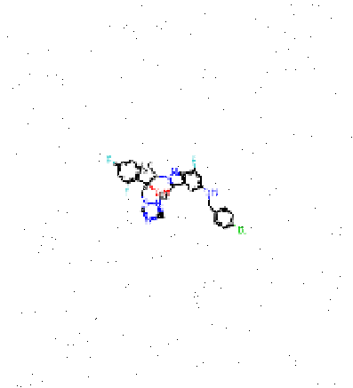 CCc1c2cc(NCc3ccc(Cl)cc3)cc(F)c2nn1[C@H](C)[C@](O)(Cn1cncn1)c1ccc(F)cc1F